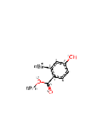 CCCCc1cc(O)ccc1C(=O)OCCC